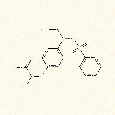 CCC(NS(=O)(=O)c1ccccc1)c1ccc(OC(C)C(=O)O)cc1